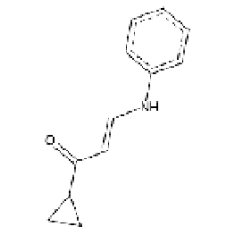 O=C(C=CNc1ccccc1)C1CC1